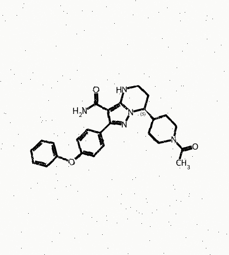 CC(=O)N1CCC([C@@H]2CCNc3c(C(N)=O)c(-c4ccc(Oc5ccccc5)cc4)nn32)CC1